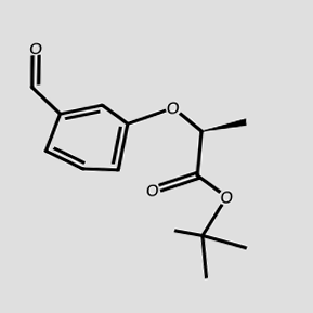 C[C@H](Oc1cccc(C=O)c1)C(=O)OC(C)(C)C